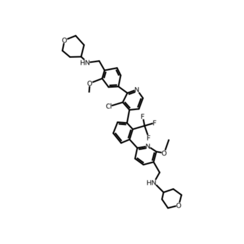 COc1cc(-c2nccc(-c3cccc(-c4ccc(CNC5CCOCC5)c(OC)n4)c3C(F)(F)F)c2Cl)ccc1CNC1CCOCC1